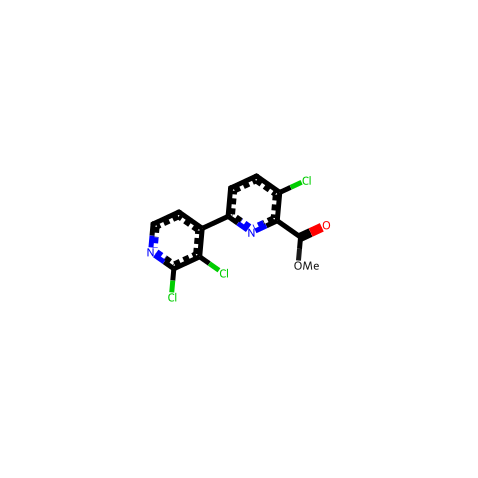 COC(=O)c1nc(-c2ccnc(Cl)c2Cl)ccc1Cl